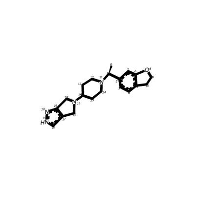 C[C@@H](c1ccc2c(c1)OCC2)N1CCC(N2Cc3c[nH]nc3C2)CC1